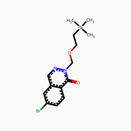 C[Si](C)(C)CCOCn1ncc2cc(Br)ccc2c1=O